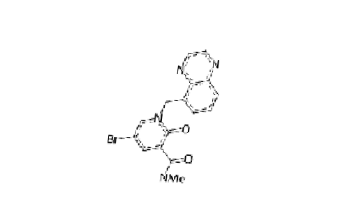 CNC(=O)c1cc(Br)cn(Cc2cccc3nccnc23)c1=O